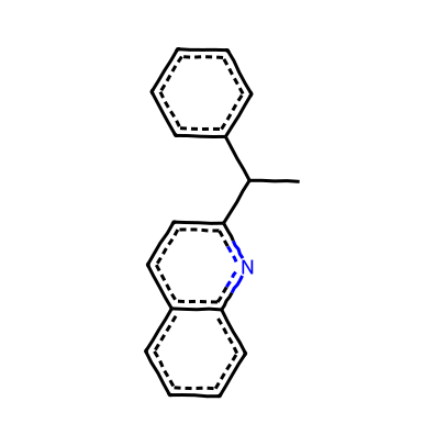 CC(c1ccccc1)c1ccc2ccccc2n1